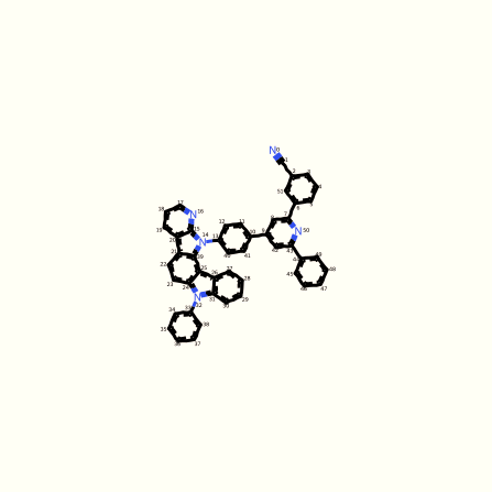 N#Cc1cccc(-c2cc(-c3ccc(-n4c5ncccc5c5ccc6c(c7ccccc7n6-c6ccccc6)c54)cc3)cc(-c3ccccc3)n2)c1